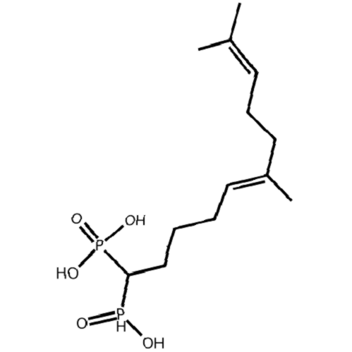 CC(C)=CCCC(C)=CCCCC([PH](=O)O)P(=O)(O)O